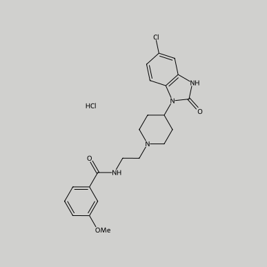 COc1cccc(C(=O)NCCN2CCC(n3c(=O)[nH]c4cc(Cl)ccc43)CC2)c1.Cl